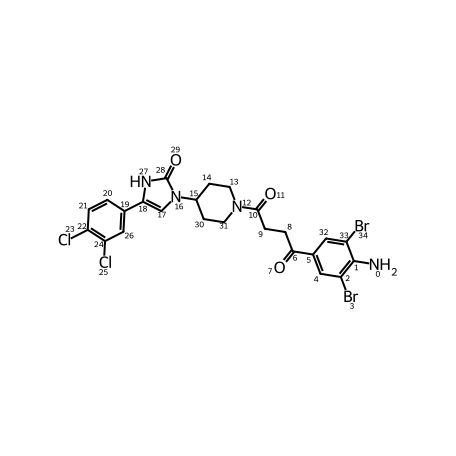 Nc1c(Br)cc(C(=O)CCC(=O)N2CCC(n3cc(-c4ccc(Cl)c(Cl)c4)[nH]c3=O)CC2)cc1Br